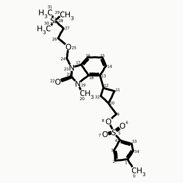 Cc1ccc(S(=O)(=O)OCC2CC(c3cccc4c3n(C)c(=O)n4COCC[Si](C)(C)C)C2)cc1